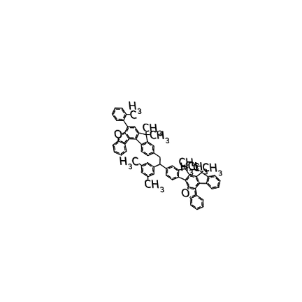 Cc1cc(C)cc(C(Cc2ccc3c(c2)C(C)(C)c2cc(-c4ccccc4C)c4oc5ccccc5c4c2-3)c2ccc3c(c2)C(C)(C)c2c4c(c5c(oc6ccccc65)c2-3)-c2ccccc2C4(C)C)c1